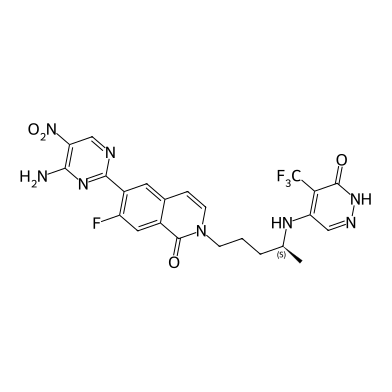 C[C@@H](CCCn1ccc2cc(-c3ncc([N+](=O)[O-])c(N)n3)c(F)cc2c1=O)Nc1cn[nH]c(=O)c1C(F)(F)F